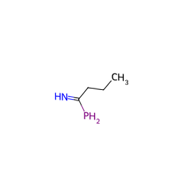 CCCC(=N)P